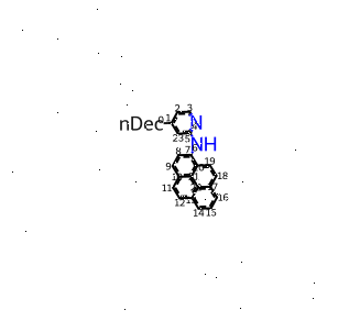 CCCCCCCCCCc1ccnc(Nc2ccc3ccc4cccc5ccc2c3c45)c1